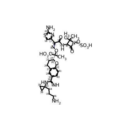 CC(O/N=C(\C(=O)N[C@@H]1C(=O)N(OS(=O)(=O)O)C1(C)C)c1csc(N)n1)(C(=O)O)[C@H]1CCc2cc(C(=N)NC3(CCCN)CC3)ccc2O1